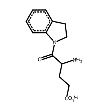 NC(CCC(=O)O)C(=O)N1CCc2ccccc21